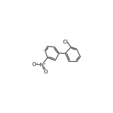 O=[N+]([O-])c1[c]ccc(-c2ccccc2Cl)c1